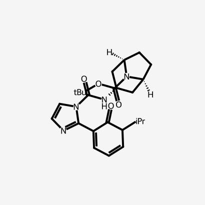 CC(C)C1C=CC=C(c2nccn2C(=O)N[C@@H]2C[C@H]3CC[C@@H](C2)N3C(=O)OC(C)(C)C)C1=O